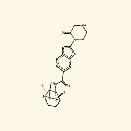 C[C@H]1[C@H](NC(=O)c2cc3sc(N4CCNCC4=O)cc3cn2)C2CCN1CC2